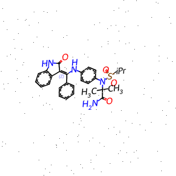 CC(C)S(=O)(=O)N(c1ccc(N/C(=C2\C(=O)Nc3ccccc32)c2ccccc2)cc1)C(C)(C)C(N)=O